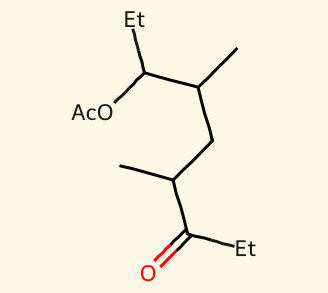 CCC(=O)C(C)CC(C)C(CC)OC(C)=O